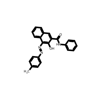 Cc1ccc(N=Nc2c(O)c(C(=O)Nc3ccccc3)cc3ccccc23)cc1